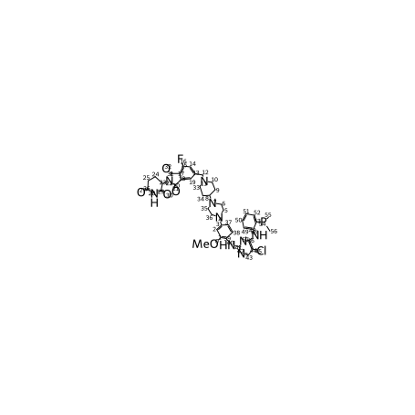 COc1cc(N2CCN(C3CCN(Cc4cc(F)c5c(c4)C(=O)N(C4CCC(=O)NC4=O)C5=O)CC3)CC2)ccc1Nc1ncc(Cl)c(Nc2ccccc2P(C)C)n1